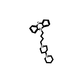 c1ccc2c(c1)Sc1ccccc1N2CCCCN1CCC(N2CCCCC2)CC1